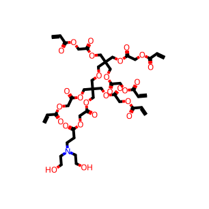 C=CC(=O)OCC(=O)OCC(COCC(COC(=O)COC(=O)C=C)(COC(=O)COC(=O)C=C)COC(=O)COC(=O)CCN(CCO)CCO)(COC(=O)COC(=O)C=C)COC(=O)COC(=O)C=C